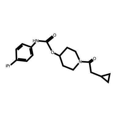 CC(C)c1ccc(NC(=O)OC2CCN(C(=O)CC3CC3)CC2)cc1